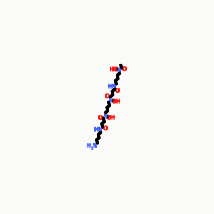 CC(=O)N(O)CCCCCNC(=O)CCC(=O)N(O)CCCCCN(O)C(=O)CCC(=O)NCCCCCN